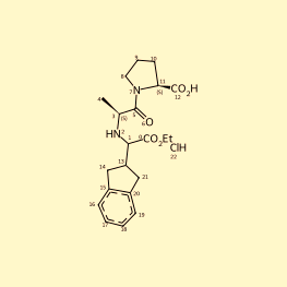 CCOC(=O)C(N[C@@H](C)C(=O)N1CCC[C@H]1C(=O)O)C1Cc2ccccc2C1.Cl